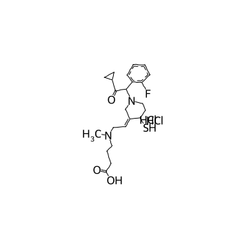 CN(C/C=C1\CN(C(C(=O)C2CC2)c2ccccc2F)CCC1S)CCCC(=O)O.Cl.Cl